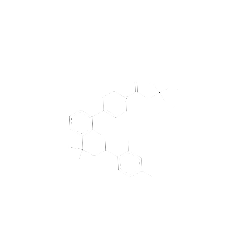 CC(C)(C)OC(=O)N1CC=C(c2cccc3c2OC(c2ccc(Cl)cc2F)CC3(F)F)CC1